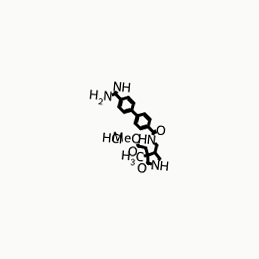 COC(=O)CC1(C)C(=O)NCC1CNC(=O)c1ccc(-c2ccc(C(=N)N)cc2)cc1.Cl